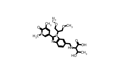 COCC(COC)n1c(-c2cc(C)c(=O)n(C)c2)nc2ccc(CNC(C(=O)O)C(C)O)cc21